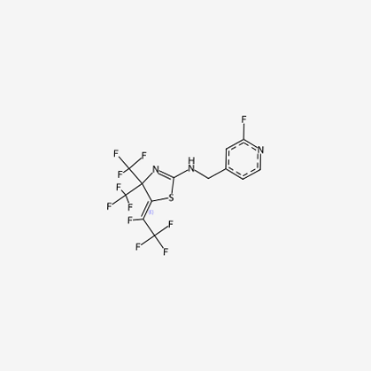 F/C(=C1/SC(NCc2ccnc(F)c2)=NC1(C(F)(F)F)C(F)(F)F)C(F)(F)F